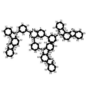 c1cc(-c2ccc3nc(-c4cccc(-n5c6ccccc6c6c7sc8ccccc8c7ccc65)c4)nc(-c4cccc(-n5c6ccccc6c6c7sc8ccccc8c7ccc65)c4)c3c2)cc(-n2c3ccccc3c3c4sc5ccccc5c4ccc32)c1